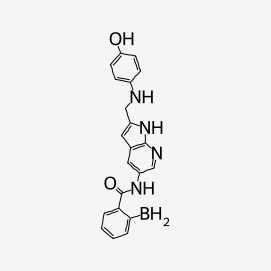 Bc1ccccc1C(=O)Nc1cnc2[nH]c(CNc3ccc(O)cc3)cc2c1